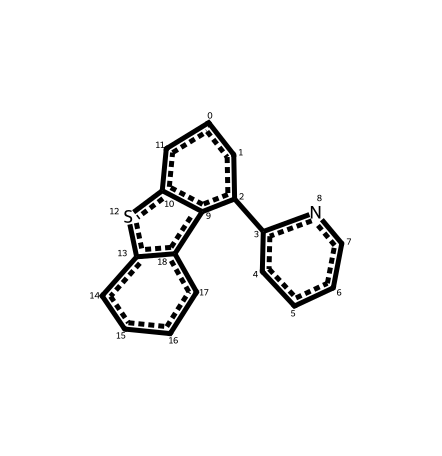 [c]1cc(-c2ccccn2)c2c(c1)sc1ccccc12